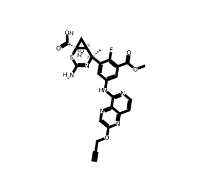 C#CCOc1cnc2c(Nc3cc(C(=O)OC)c(F)c([C@@]4(C)N=C(N)S[C@@]5(C(=O)O)C[C@H]54)c3)nccc2n1